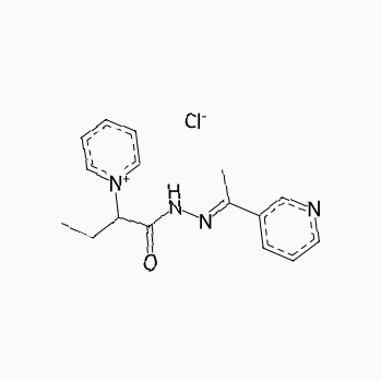 CCC(C(=O)NN=C(C)c1cccnc1)[n+]1ccccc1.[Cl-]